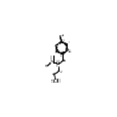 CN[C@H](CCO)Cc1ccc(C)cc1